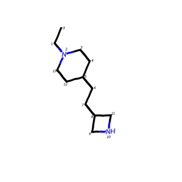 CCN1CCC(CCC2CNC2)CC1